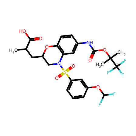 CC(CC1CN(S(=O)(=O)c2cccc(OC(F)F)c2)c2cc(NC(=O)OC(C)(C)C(F)(F)F)ccc2O1)C(=O)O